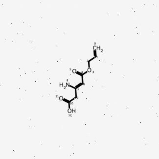 C=CCOC(=O)C=C(N)CC(=O)O